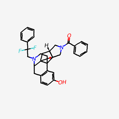 O=C(c1ccccc1)N1C[C@H]2CC34CCC1C2C31CCN(CC(F)(F)c2ccccc2)C4Cc2ccc(O)cc21